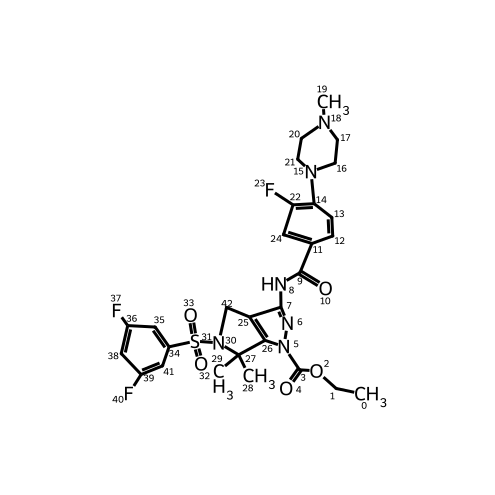 CCOC(=O)n1nc(NC(=O)c2ccc(N3CCN(C)CC3)c(F)c2)c2c1C(C)(C)N(S(=O)(=O)c1cc(F)cc(F)c1)C2